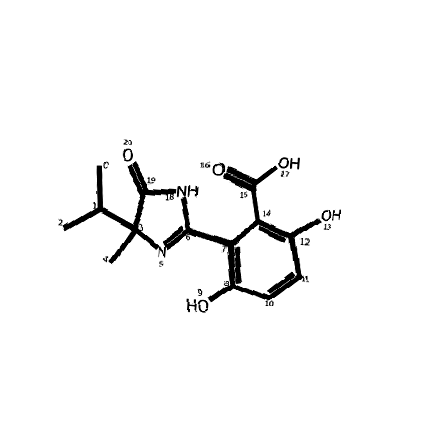 CC(C)C1(C)N=C(c2c(O)ccc(O)c2C(=O)O)NC1=O